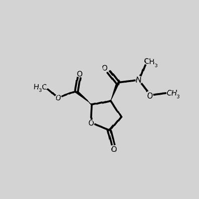 COC(=O)[C@@H]1OC(=O)C[C@@H]1C(=O)N(C)OC